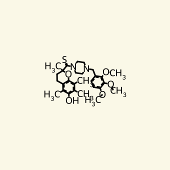 COc1ccc(CN2CCN(C(=S)C3(C)CCc4c(C)c(O)c(C)c(C)c4O3)CC2)c(OC)c1OC